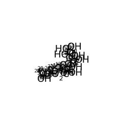 CC1OC(OC2C(OC3C(OC4CCC5(C)C(CCC6(C)C5CC=C5C7CC(C)(C)CC(O)C7(C)CCC56C)C4(C)CO)OC(C(=O)O)C(O)C3O)OCC(O)C2O)C(O)C(O)C1O